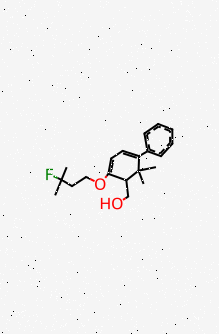 CC(C)(F)CCOC1=CC=C(c2ccccc2)C(C)(C)C1CO